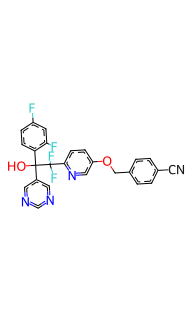 N#Cc1ccc(COc2ccc(C(F)(F)C(O)(c3cncnc3)c3ccc(F)cc3F)nc2)cc1